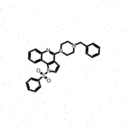 O=S(=O)(c1ccccc1)n1ccc2c(N3CCN(Cc4ccccc4)CC3)nc3ccccc3c21